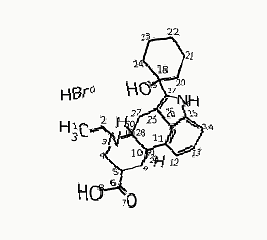 Br.CCN1CC(C(=O)O)C[C@@H]2c3cccc4[nH]c(C5(O)CCCCC5)c(c34)C[C@H]21